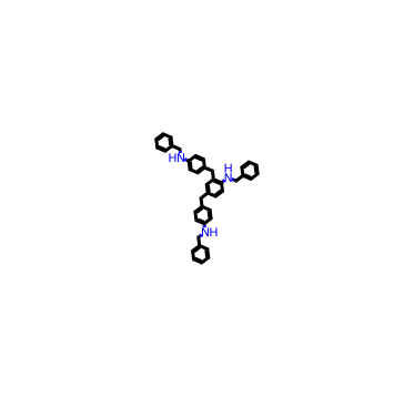 c1ccc(CNc2ccc(Cc3ccc(NCc4ccccc4)c(Cc4ccc(NCc5ccccc5)cc4)c3)cc2)cc1